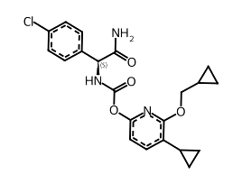 NC(=O)[C@@H](NC(=O)Oc1ccc(C2CC2)c(OCC2CC2)n1)c1ccc(Cl)cc1